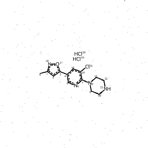 Cc1cc(-c2cnc(N3CCNCC3)c(Cl)c2)on1.Cl.Cl